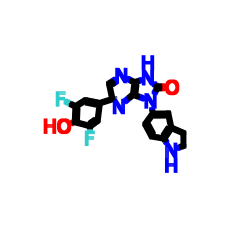 O=c1[nH]c2ncc(-c3cc(F)c(O)c(F)c3)nc2n1-c1ccc2c(c1)CCN2